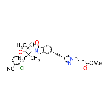 COC(=O)CCCn1cc(C#Cc2ccc3c(c2)CN([C@H]2C(C)(C)[C@H](Oc4ccc(C#N)c(Cl)c4)C2(C)C)C3=O)cn1